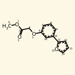 COC(=O)COc1cccc(-c2ccco2)c1